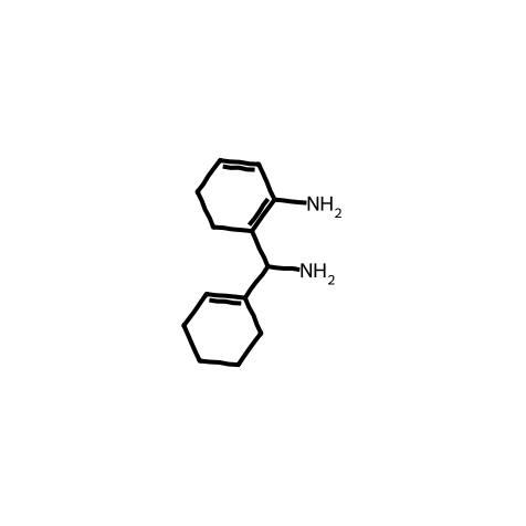 NC1=C(C(N)C2=CCCCC2)CCC=C1